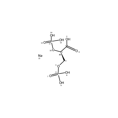 O=C(O)[C@@H](COP(=O)(O)O)OP(=O)(O)O.[Na]